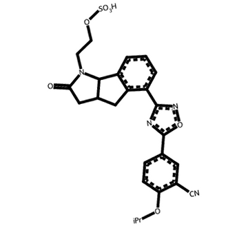 CC(C)Oc1ccc(-c2nc(-c3cccc4c3CC3CC(=O)N(CCOS(=O)(=O)O)C43)no2)cc1C#N